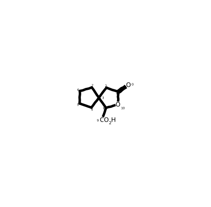 O=C1CC2(CCCC2)C(C(=O)O)O1